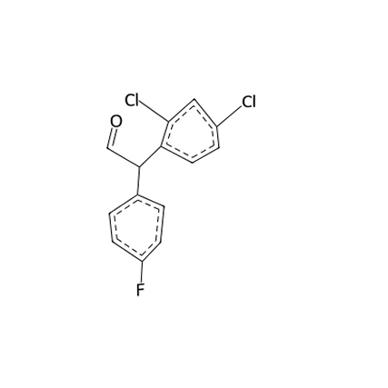 O=CC(c1ccc(F)cc1)c1ccc(Cl)cc1Cl